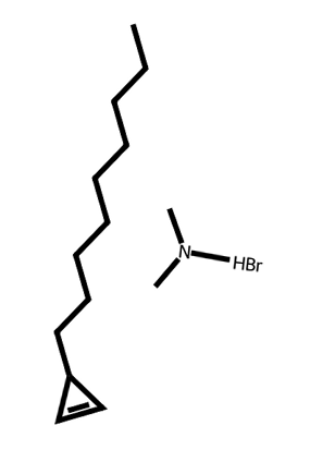 Br.CCCCCCCCCC1C=C1.CN(C)C